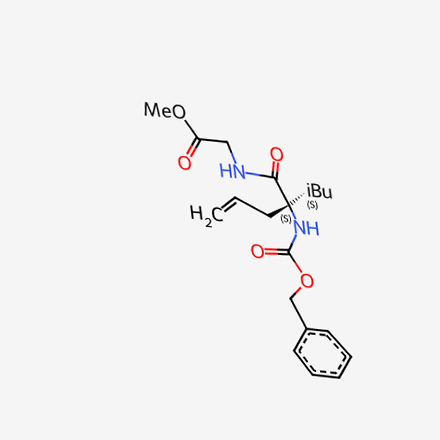 C=CC[C@@](NC(=O)OCc1ccccc1)(C(=O)NCC(=O)OC)[C@@H](C)CC